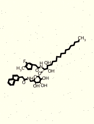 CCCCCCCCCCCCCC[C@@H](O)[C@@H](O)[C@H](CO[C@H]1OC(CNC(=O)Cc2ccc3ccccc3c2)[C@H](O)[C@H](O)C1O)NC(=O)Cc1ccc(C)c(F)c1